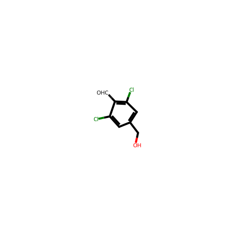 O=Cc1c(Cl)cc(CO)cc1Cl